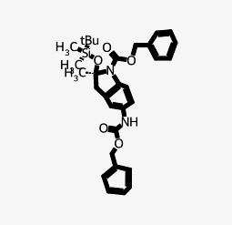 CC(C)(C)[Si](C)(C)O[C@]1(C)Cc2cc(NC(=O)OCc3ccccc3)ccc2N1C(=O)OCc1ccccc1